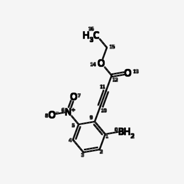 Bc1cccc([N+](=O)[O-])c1C#CC(=O)OCC